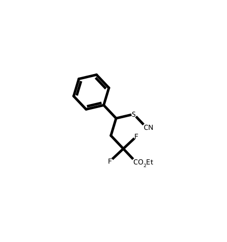 CCOC(=O)C(F)(F)CC(SC#N)c1ccccc1